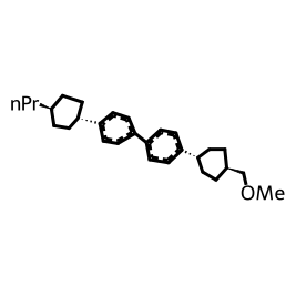 CCC[C@H]1CC[C@H](c2ccc(-c3ccc([C@H]4CC[C@H](COC)CC4)cc3)cc2)CC1